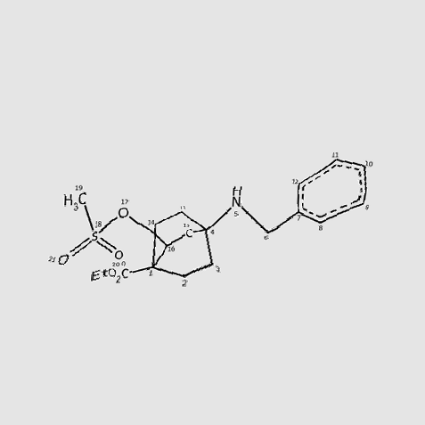 CCOC(=O)C12CCC(NCc3ccccc3)(CC1)CC2OS(C)(=O)=O